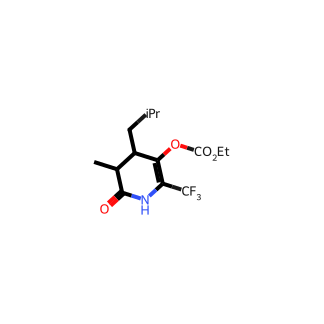 CCOC(=O)OC1=C(C(F)(F)F)NC(=O)C(C)C1CC(C)C